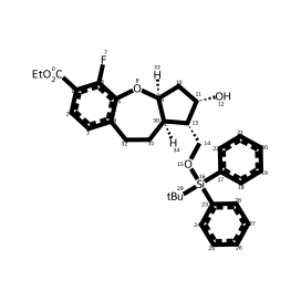 CCOC(=O)c1ccc2c(c1F)O[C@H]1C[C@H](O)[C@H](CO[Si](c3ccccc3)(c3ccccc3)C(C)(C)C)[C@H]1CC2